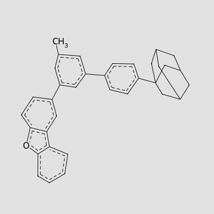 Cc1cc(-c2ccc(C34CC5CC(CC(C5)C3)C4)cc2)cc(-c2ccc3oc4ccccc4c3c2)c1